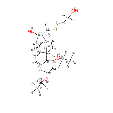 C[C@@H](SCCC(C)(C)O)[C@H]1[C@H](O)C[C@H]2C3=CC=C4C[C@@H](O[Si](C)(C)C(C)(C)C)C[C@H](O[Si](C)(C)C(C)(C)C)[C@]4(C)[C@H]3CC[C@]12C